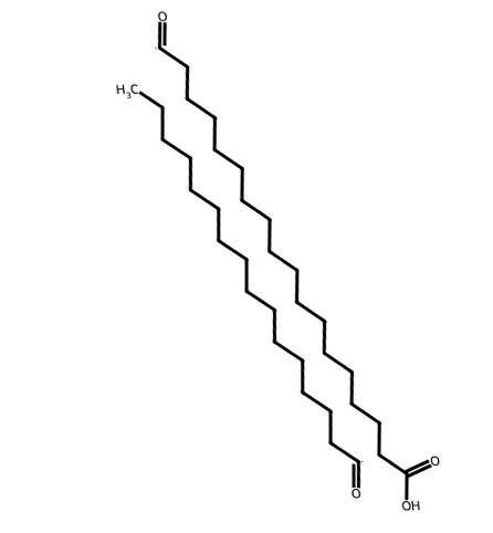 CCCCCCCCCCCCCCC[C]=O.O=[C]CCCCCCCCCCCCCCCCC(=O)O